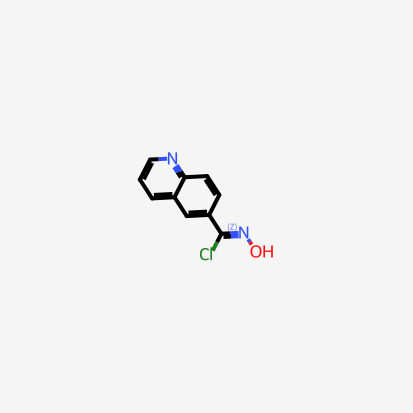 O/N=C(\Cl)c1ccc2ncccc2c1